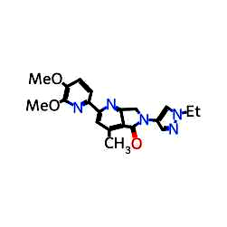 CCn1cc(N2Cc3nc(-c4ccc(OC)c(OC)n4)cc(C)c3C2=O)cn1